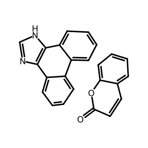 O=c1ccc2ccccc2o1.c1ccc2c(c1)c1ccccc1c1[nH]cnc21